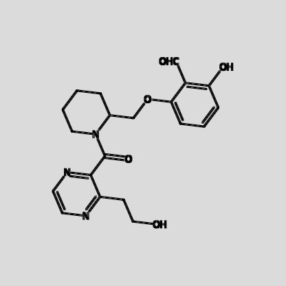 O=Cc1c(O)cccc1OCC1CCCCN1C(=O)c1nccnc1CCO